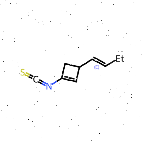 CC/C=C/C1C=C(N=C=S)C1